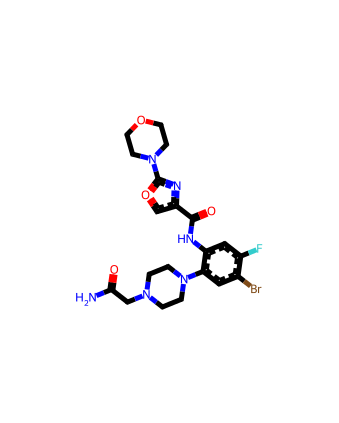 NC(=O)CN1CCN(c2cc(Br)c(F)cc2NC(=O)c2coc(N3CCOCC3)n2)CC1